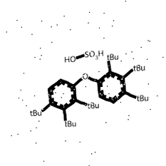 CC(C)(C)c1ccc(Oc2ccc(C(C)(C)C)c(C(C)(C)C)c2C(C)(C)C)c(C(C)(C)C)c1C(C)(C)C.O=S(=O)(O)O